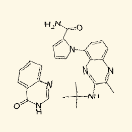 Cc1nc2cccc(-n3cccc3C(N)=O)c2nc1NC(C)(C)C.O=c1[nH]cnc2ccccc12